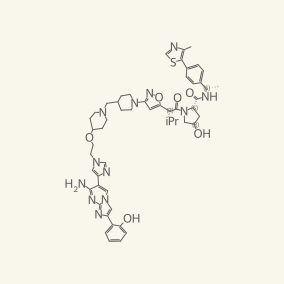 Cc1ncsc1-c1ccc([C@H](C)NC(=O)[C@@H]2C[C@@H](O)CN2C(=O)[C@@H](c2cc(N3CCC(CN4CCC(OCCn5cnc(-c6cn7cc(-c8ccccc8O)nc7nc6N)c5)CC4)CC3)no2)C(C)C)cc1